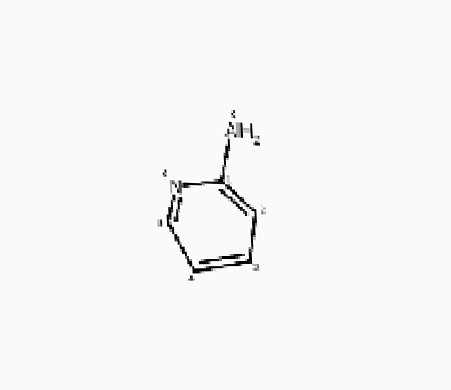 [AlH2][c]1ccccn1